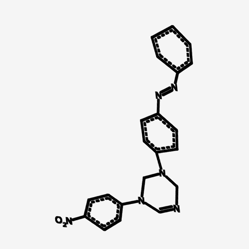 O=[N+]([O-])c1ccc(N2C=NCN(c3ccc(N=Nc4ccccc4)cc3)C2)cc1